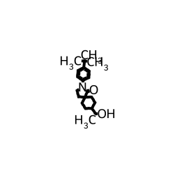 CC(O)C1CCC2(CC1)CCN(c1ccc(C(C)(C)C)cc1)C2=O